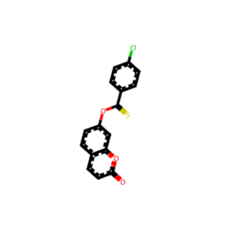 O=c1ccc2ccc(OC(=S)c3ccc(Cl)cc3)cc2o1